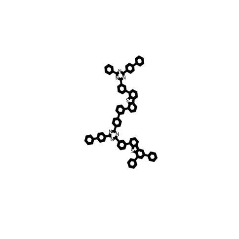 c1ccc(-c2ccc(-c3nc(-c4ccccc4)nc(-c4cccc(-c5cccc6c5sc5c(-c7cccc(-c8ccc(-c9nc(-c%10ccc(-c%11ccccc%11)cc%10)nc(-c%10cccc(-c%11cccc%12c%11sc%11c(-c%13ccccc%13)cc(-c%13ccccc%13)cc%11%12)c%10)n9)cc8)c7)cccc56)c4)n3)cc2)cc1